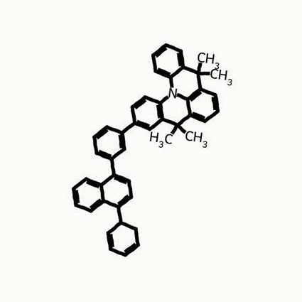 CC1(C)c2ccccc2N2c3ccc(-c4cccc(-c5ccc(C6C=CC=CC6)c6ccccc56)c4)cc3C(C)(C)c3cccc1c32